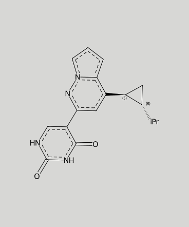 CC(C)[C@H]1C[C@@H]1c1cc(-c2c[nH]c(=O)[nH]c2=O)nn2cccc12